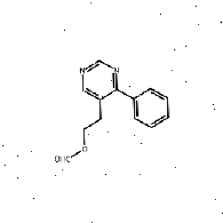 O=COCCc1cncnc1-c1ccccc1